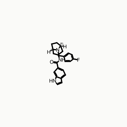 O=C(NC1C[C@H]2CC[C@@H](C1)N2Cc1ccc(F)cc1)c1ccc2cc[nH]c2c1